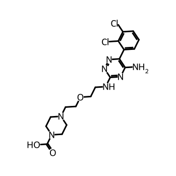 Nc1nc(NCCOCCN2CCN(C(=O)O)CC2)nnc1-c1cccc(Cl)c1Cl